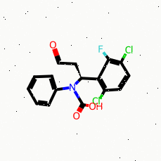 O=CC[C@@H](c1c(Cl)ccc(Cl)c1F)N(C(=O)O)c1ccccc1